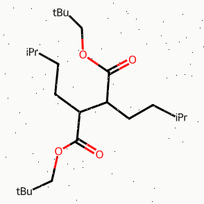 CC(C)CCC(C(=O)OCC(C)(C)C)C(CCC(C)C)C(=O)OCC(C)(C)C